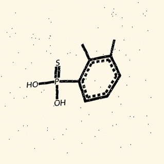 Cc1cccc(P(O)(O)=S)c1C